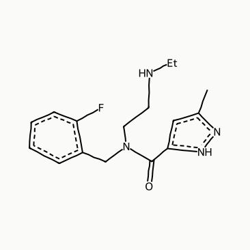 CCNCCN(Cc1ccccc1F)C(=O)c1cc(C)n[nH]1